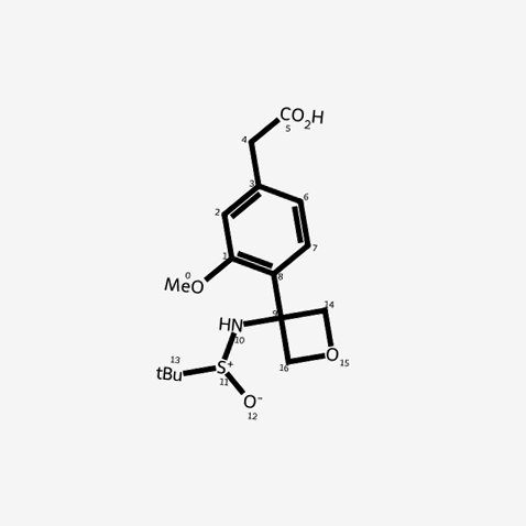 COc1cc(CC(=O)O)ccc1C1(N[S+]([O-])C(C)(C)C)COC1